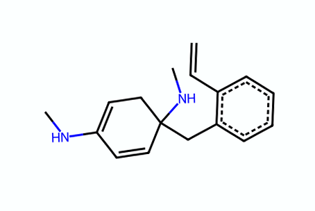 C=Cc1ccccc1CC1(NC)C=CC(NC)=CC1